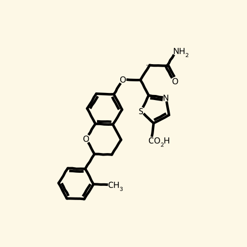 Cc1ccccc1C1CCc2cc(OC([CH]C(N)=O)c3ncc(C(=O)O)s3)ccc2O1